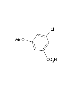 COc1cc(Cl)cc(C(=O)O)c1